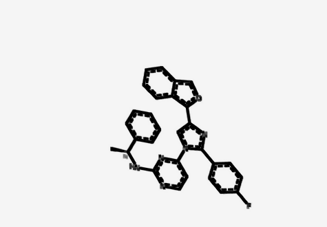 C[C@H](Nc1nccc(-n2cc(-c3occ4ccccc34)nc2-c2ccc(F)cc2)n1)c1ccccc1